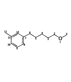 COCCCCCc1cccc(C)c1